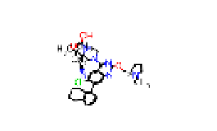 CN1CCC[C@H]1COc1nc(N2CCN(C(=O)O)[C@@](CC#N)(C(C)(C)C)C2)c2cc(Cl)c(-c3cccc4c3CCCC4)cc2n1